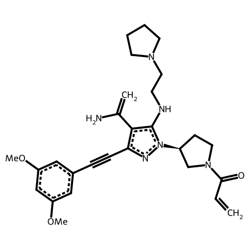 C=CC(=O)N1CC[C@H](n2nc(C#Cc3cc(OC)cc(OC)c3)c(C(=C)N)c2NCCN2CCCC2)C1